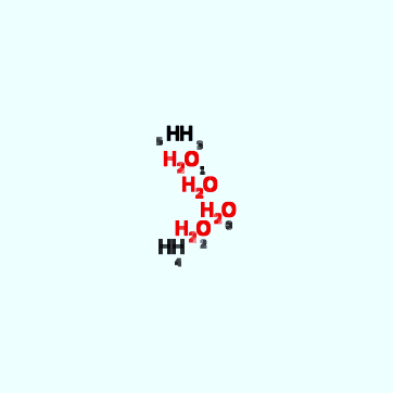 O.O.O.O.[HH].[HH]